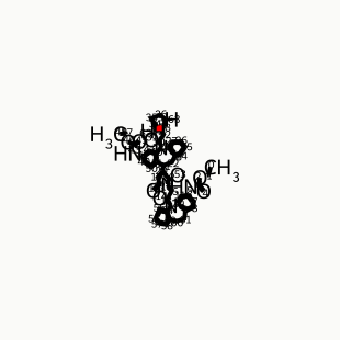 CCOC(=O)Nc1ccc2c(c1)N(C(=O)CN1C(=O)C=C(C3Cc4ccccc4N(C(=O)CN4[C@H]5CC[C@@H]4CC5)c4cc(NC(=O)OCC)ccc43)C1=O)c1ccccc1CC2